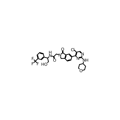 O=C(CN1Cc2ccc(-c3nc(NC4CCOCC4)ncc3Cl)cc2C1=O)NC(CO)c1cccc(C(F)(F)F)c1